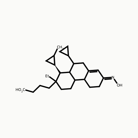 CCC1(CCCC(=O)O)CCC2C3CC/C(=N\O)C=C3CC(C3CC3)C2C1[C@H]1CC1C